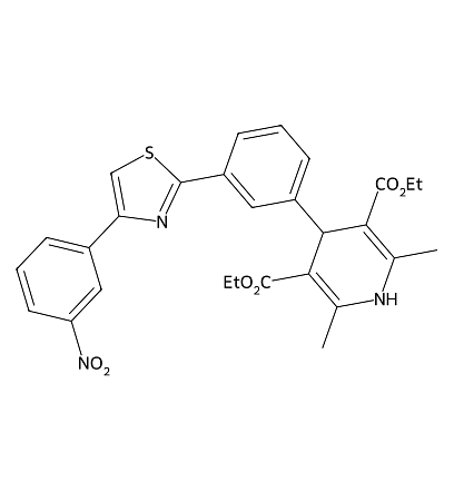 CCOC(=O)C1=C(C)NC(C)=C(C(=O)OCC)C1c1cccc(-c2nc(-c3cccc([N+](=O)[O-])c3)cs2)c1